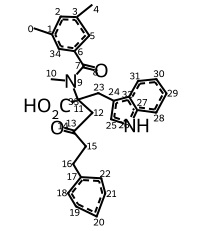 Cc1cc(C)cc(C(=O)N(C)[C@@](CC(=O)CCc2ccccc2)(Cc2c[nH]c3ccccc23)C(=O)O)c1